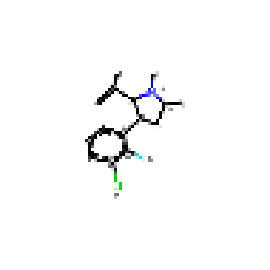 C=C(C)C1C(c2cccc(Cl)c2F)CC(C)N1C